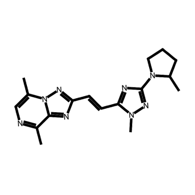 Cc1ncc(C)n2nc(C=Cc3nc(N4CCCC4C)nn3C)nc12